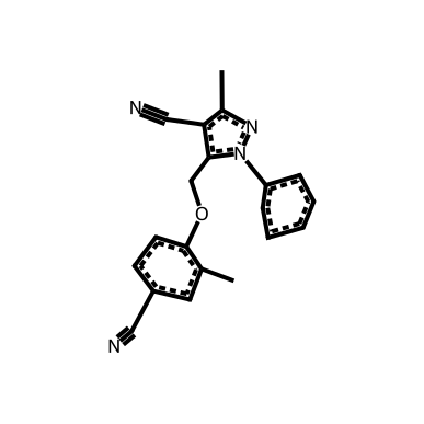 Cc1cc(C#N)ccc1OCc1c(C#N)c(C)nn1-c1ccccc1